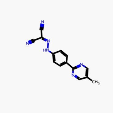 Cc1cnc(-c2ccc(NN=C(C#N)C#N)cc2)nc1